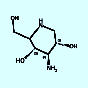 N[C@H]1[C@H](O)C(CO)NC[C@@H]1O